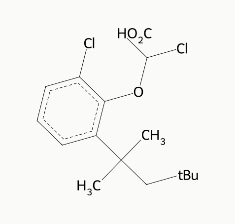 CC(C)(C)CC(C)(C)c1cccc(Cl)c1OC(Cl)C(=O)O